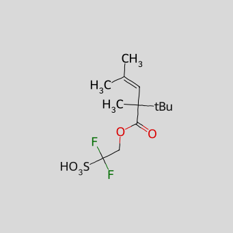 CC(C)=CC(C)(C(=O)OCC(F)(F)S(=O)(=O)O)C(C)(C)C